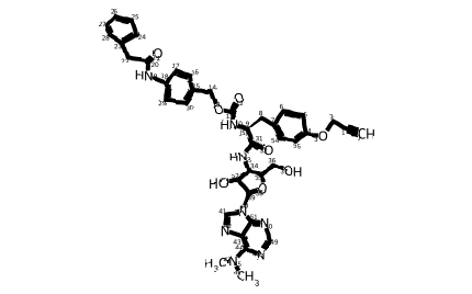 C#CCOc1ccc(C[C@H](NC(=O)OCc2ccc(NC(=O)Cc3ccccc3)cc2)C(=O)NC2C(CO)OC(n3cnc4c(N(C)C)ncnc43)C2O)cc1